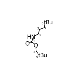 CC(C)(C)CCCNC(=O)OCC(C)(C)C